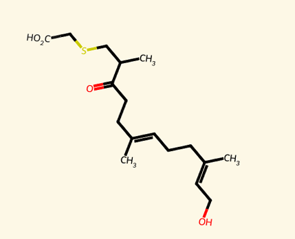 CC(=CCO)CCC=C(C)CCC(=O)C(C)CSCC(=O)O